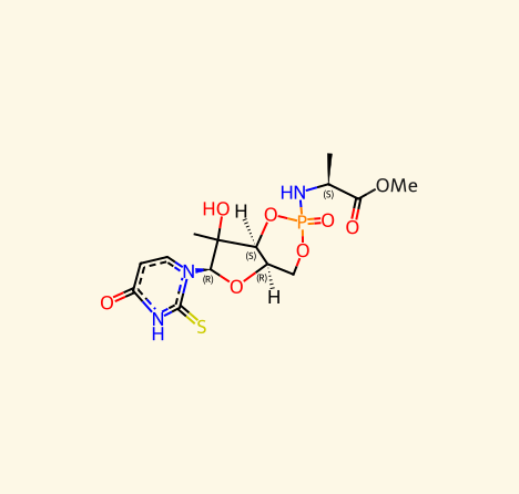 COC(=O)[C@H](C)NP1(=O)OC[C@H]2O[C@@H](n3ccc(=O)[nH]c3=S)C(C)(O)[C@H]2O1